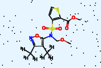 [2H]C([2H])([2H])c1noc(N(COC)S(=O)(=O)c2ccsc2C(=O)OC)c1C([2H])([2H])[2H]